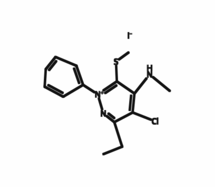 CCc1n[n+](-c2ccccc2)c(SC)c(NC)c1Cl.[I-]